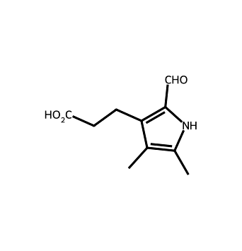 Cc1[nH]c(C=O)c(CCC(=O)O)c1C